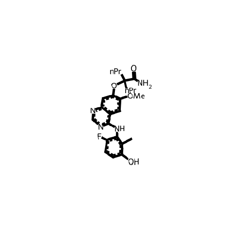 CCCC(CCC)(Oc1cc2ncnc(Nc3c(F)ccc(O)c3C)c2cc1OC)C(N)=O